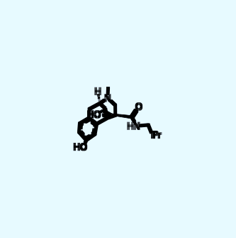 CC(C)CNC(=O)[C@H]1C[C@]23CCN(C)[C@H](Cc4ccc(O)cc42)[C@]3(O)C1